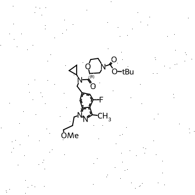 COCCCn1nc(C)c2c(F)cc(CN(C(=O)[C@H]3CN(C(=O)OC(C)(C)C)CCO3)C3CC3)cc21